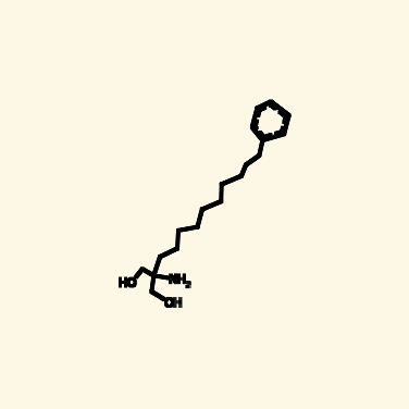 NC(CO)(CO)CCCCCCCCCCc1ccccc1